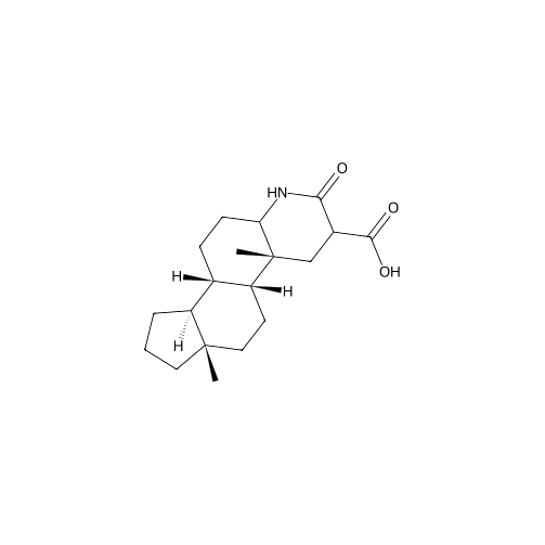 C[C@@]12CCC[C@H]1[C@@H]1CCC3NC(=O)C(C(=O)O)C[C@]3(C)[C@@H]1CC2